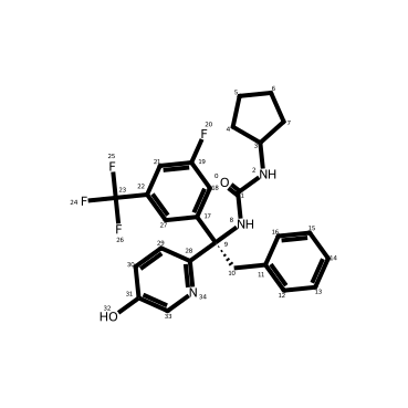 O=C(NC1CCCC1)N[C@](Cc1ccccc1)(c1cc(F)cc(C(F)(F)F)c1)c1ccc(O)cn1